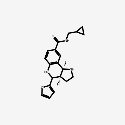 O=C(NCC1CC1)c1ccc2c(c1)[C@H]1NCC[C@H]1C(c1ccco1)N2